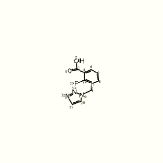 O=C(O)c1cccc(Cn2ccnn2)c1F